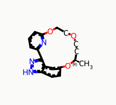 C[C@@H]1CCOCCOc2cccc(n2)-c2n[nH]c3ccc(cc23)O1